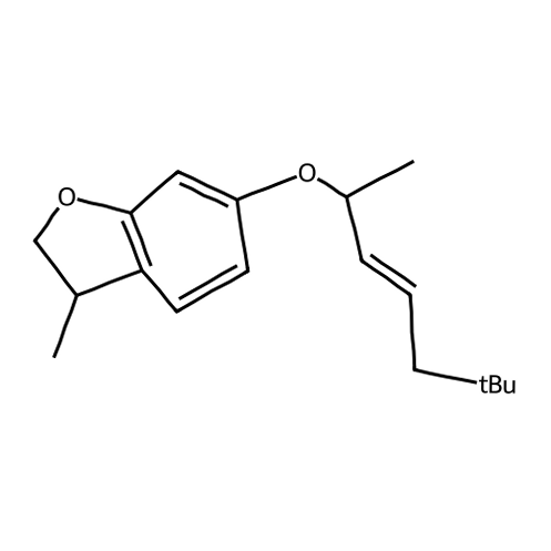 CC(C=CCC(C)(C)C)Oc1ccc2c(c1)OCC2C